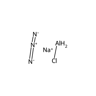 [AlH2][Cl].[N-]=[N+]=[N-].[Na+]